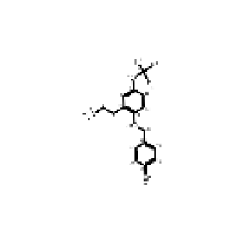 NCCc1cc(OC(F)(F)F)ccc1OCc1ccc(Br)cc1